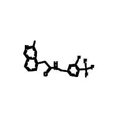 Cc1cc2c(CC(=O)NCc3ccc(C(F)(F)F)c(F)c3)cccc2cn1